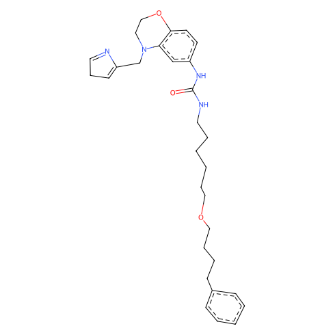 O=C(NCCCCCCOCCCCc1ccccc1)Nc1ccc2c(c1)N(CC1=CCC=N1)CCO2